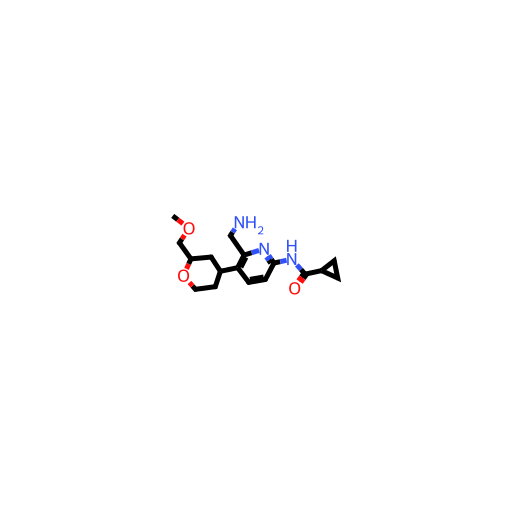 COCC1CC(c2ccc(NC(=O)C3CC3)nc2CN)CCO1